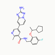 Cc1ncc(-c2ccn3nc(N)nc3c2)cc1C(=O)NCc1ccc(F)cc1OC(C)C1CCCC1